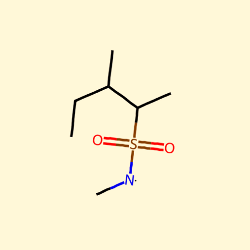 CCC(C)C(C)S(=O)(=O)[N]C